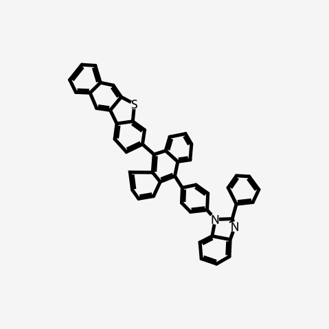 c1ccc(-c2nc3ccccc3n2-c2ccc(-c3c4ccccc4c(-c4ccc5c(c4)sc4cc6ccccc6cc45)c4ccccc34)cc2)cc1